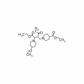 CCOC(=O)C1CCN(CC(C(C)=O)C(C(=O)OCC)N2CCC(OCC)CC2)CC1